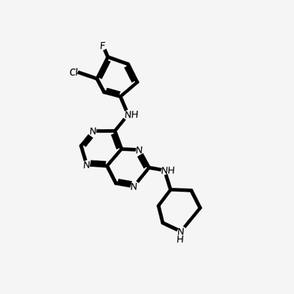 Fc1ccc(Nc2ncnc3cnc(NC4CCNCC4)nc23)cc1Cl